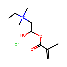 C=C(C)C(=O)OC(O)C[N+](C)(C)CC.[Cl-]